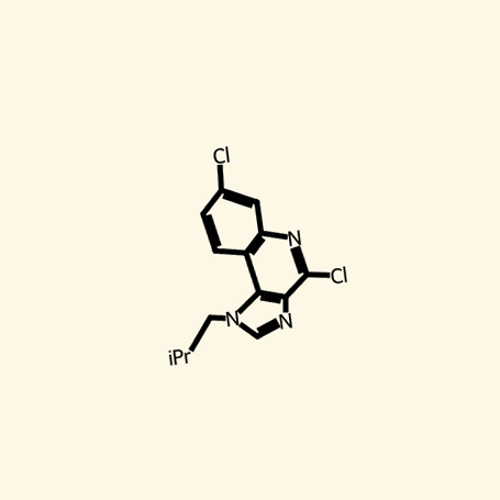 CC(C)Cn1cnc2c(Cl)nc3cc(Cl)ccc3c21